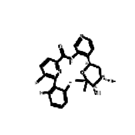 CC1(C)O[C@@H](c2ccncc2NC(=O)c2ccc(F)c(-c3c(F)cccc3F)n2)C[C@H](O)[C@@H]1O